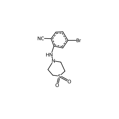 N#Cc1ccc(Br)cc1NN1CCS(=O)(=O)CC1